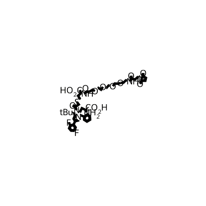 CC(C)(C)[C@H](c1cc(-c2cc(F)ccc2F)cn1Cc1ccccc1)N(CC[C@H](N)C(=O)O)C(=O)CSCCC(NC(=O)CCOCCOCCOCCOCCNC(=O)CCN1C(=O)C=CC1=O)C(=O)O